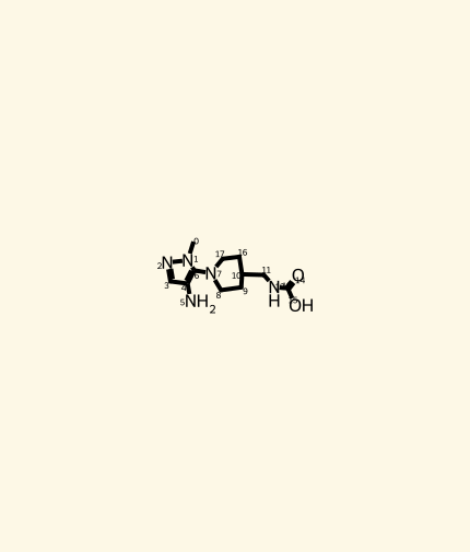 Cn1ncc(N)c1N1CCC(CNC(=O)O)CC1